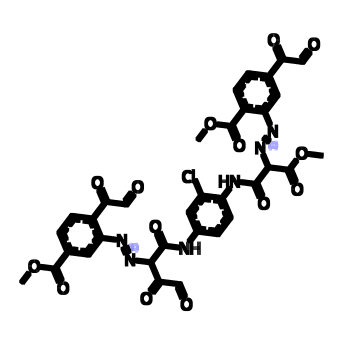 COC(=O)c1ccc(C(=O)C=O)c(/N=N/C(C(=O)C=O)C(=O)Nc2ccc(NC(=O)C(/N=N/c3cc(C(=O)C=O)ccc3C(=O)OC)C(=O)OC)c(Cl)c2)c1